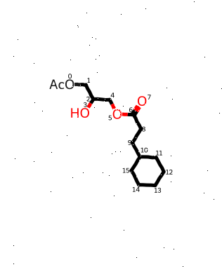 CC(=O)OCC(O)COC(=O)CCC1CCCCC1